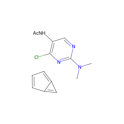 CC(=O)Nc1cnc(N(C)C)nc1Cl.c1cc2cc-2c1